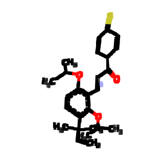 C=CC(C)(C)c1ccc(OC(C)C)c(/C=C/C(=O)C2C=CC(=S)C=C2)c1OC(C)C